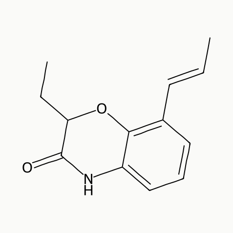 CC=Cc1cccc2c1OC(CC)C(=O)N2